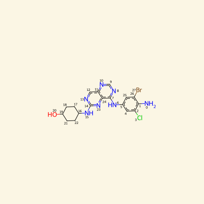 Nc1c(Cl)cc(Nc2ncnc3cnc(NC4CCC(O)CC4)nc23)cc1Br